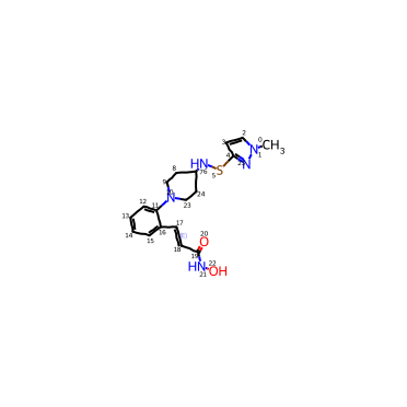 Cn1ccc(SNC2CCN(c3ccccc3/C=C/C(=O)NO)CC2)n1